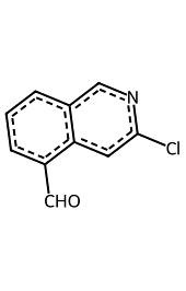 O=Cc1cccc2cnc(Cl)cc12